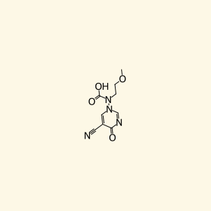 COCCN(C(=O)O)n1cnc(=O)c(C#N)c1